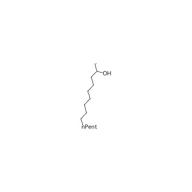 [CH2]CCCCCCCCCCCC([CH2])O